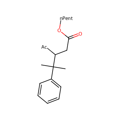 CCCCCOC(=O)CC(C(C)=O)C(C)(C)c1ccccc1